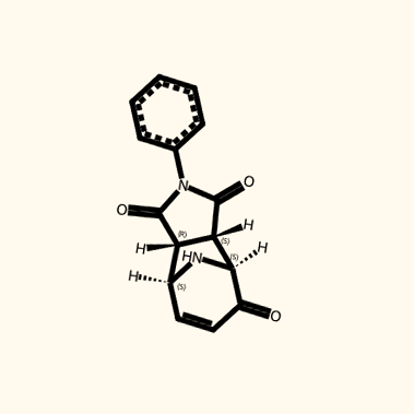 O=C1C=C[C@@H]2N[C@H]1[C@H]1C(=O)N(c3ccccc3)C(=O)[C@H]12